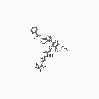 CCOC[C@H]1O[C@@H](n2cnc3c(NC(=O)c4ccccc4)ncnc32)[C@@H](OCC(=O)NCCNC(=O)C(F)(F)F)C1O